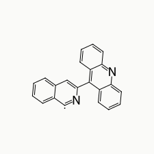 [c]1nc(-c2c3ccccc3nc3ccccc23)cc2ccccc12